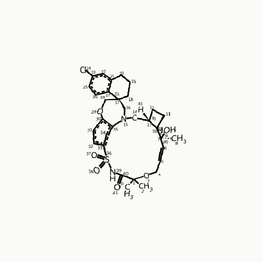 CC1(C)OCC=C[C@](C)(O)[C@@H]2CC[C@H]2CN2C[C@@]3(CCCc4cc(Cl)ccc43)COc3ccc(cc32)S(=O)(=O)NC1=O